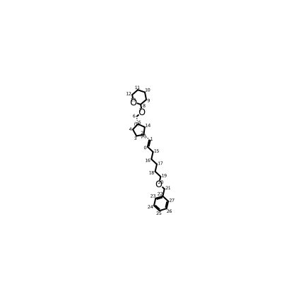 C(=C[C@@H]1CC[C@H](COC2CCCCO2)C1)CCCCCOCc1ccccc1